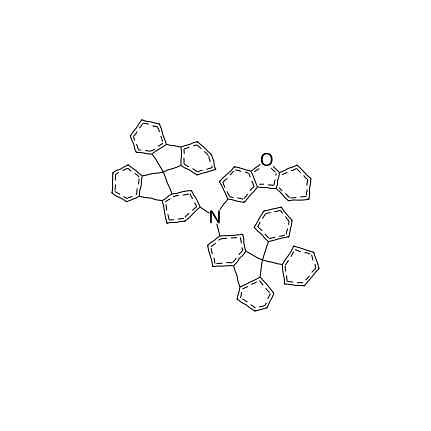 c1ccc(C2(c3ccccc3)c3ccccc3-c3ccc(N(c4ccc5c(c4)C4(c6ccccc6-c6ccccc64)c4ccccc4-5)c4ccc5oc6ccccc6c5c4)cc32)cc1